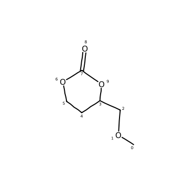 COCC1CCOC(=O)O1